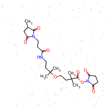 CC1CC(=O)N(CCC(=O)NCCC(C)(C)OCCC(C)(C)C(=O)ON2C(=O)CCC2=O)C1=O